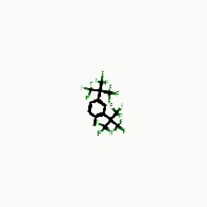 Cc1ccc(C(C(F)(F)F)(C(F)(F)F)C(F)(F)F)cc1C(C(F)(F)F)(C(F)(F)F)C(F)(F)F